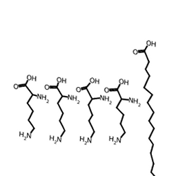 CCCCCCCCCCCCCCCC(=O)O.NCCCCC(N)C(=O)O.NCCCCC(N)C(=O)O.NCCCCC(N)C(=O)O.NCCCCC(N)C(=O)O